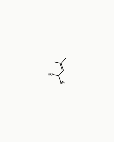 CCCC(O)C=C(C)C